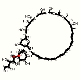 C[C@@H]1[C@H](O)[C@@H](C)/C=C/C=C/C=C/C=C/C=C/C=C/C=C/[C@H](O[C@@H]2O[C@H](C)[C@@H](O)[C@H](N)[C@@H]2O)C[C@@H]2O[C@](O)(C[C@@H](O)C[C@@H](O)[C@H](O)CC[C@@H](O)C[C@@H](O)CC(=O)O[C@H]1C)C[C@H](O)[C@H]2C(=O)NCC(O)C(O)C(O)C(O)CO